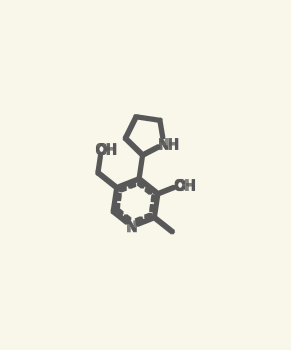 Cc1ncc(CO)c(C2CCCN2)c1O